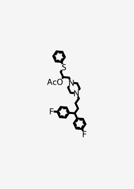 CC(=O)OC(CSc1ccccc1)CN1CCN(CCCC(c2ccc(F)cc2)c2ccc(F)cc2)CC1